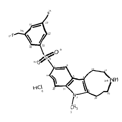 Cl.Cn1c2c(c3cc(S(=O)(=O)c4cc(F)cc(F)c4)ccc31)CCNCC2